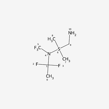 CC(F)(F)N(C(F)(F)F)S(C)(C)CN